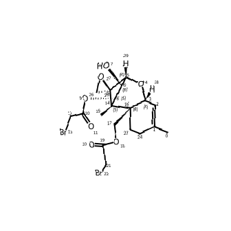 CC1=C[C@H]2O[C@@H]3[C@H](O)[C@@H](OC(=O)CBr)[C@](C)([C@@]2(COC(=O)CBr)CC1)[C@]31CO1